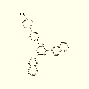 Bc1ccc(-c2ccc(C3N=C(c4ccc5ccccc5c4)NC(c4ccc5ccccc5c4)N3)cc2)cc1